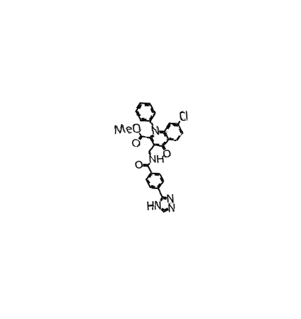 COC(=O)c1c(CNC(=O)c2ccc(-c3nnc[nH]3)cc2)c(=O)c2ccc(Cl)cc2n1-c1ccccc1